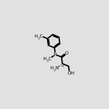 Cc1cccc(N(C)C(=O)[C@@H](N)CO)c1